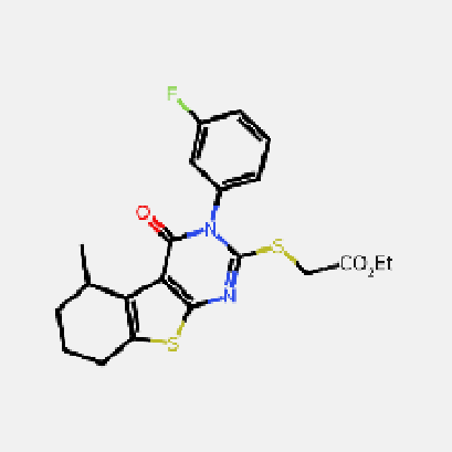 CCOC(=O)CSc1nc2sc3c(c2c(=O)n1-c1cccc(F)c1)C(C)CCC3